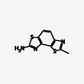 Cc1nc2ccc3sc(N)nc3c2s1